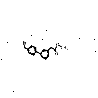 COC(=O)Cc1cccc(-c2ccc(CBr)cc2)c1